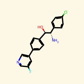 N[C@@H](c1ccc(Cl)cc1)[C@H](O)c1ccc(-c2cncc(F)c2)cc1